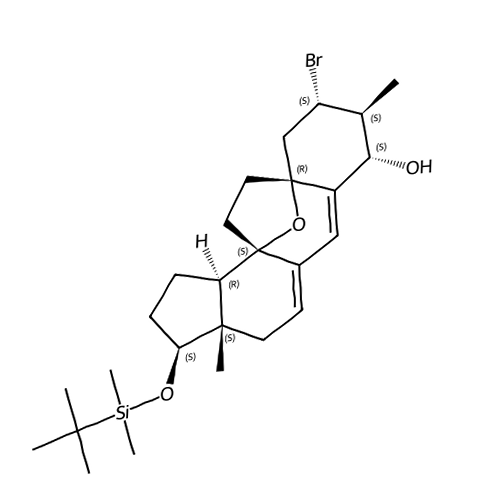 C[C@H]1[C@H](O)C2=CC3=CC[C@]4(C)[C@@H](O[Si](C)(C)C(C)(C)C)CC[C@H]4[C@@]34CC[C@]2(C[C@@H]1Br)O4